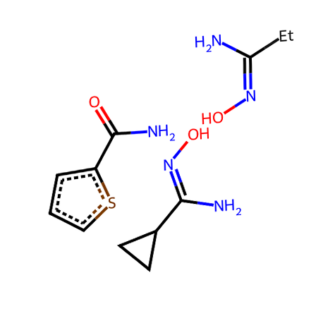 CCC(N)=NO.NC(=NO)C1CC1.NC(=O)c1cccs1